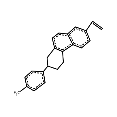 C=Cc1ccc2c3c(ccc2c1)CC(c1ccc(C(F)(F)F)cc1)CC3